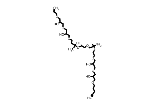 C#CCCCOCC(O)COCC(O)COCCOC(N)(F)COCCOC(C)(C)CCOCC(O)COCC(O)COCC=C